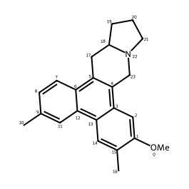 COc1cc2c3c(c4ccc(C)cc4c2cc1C)CC1CCCN1C3